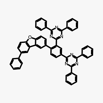 c1ccc(-c2ccc3oc4ccc(-c5ccc(-c6nc(-c7ccccc7)nc(-c7ccccc7)n6)cc5-c5nc(-c6ccccc6)nc(-c6ccccc6)n5)cc4c3c2)cc1